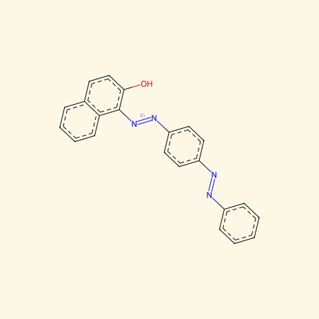 Oc1ccc2ccccc2c1/N=N/c1ccc(N=Nc2ccccc2)cc1